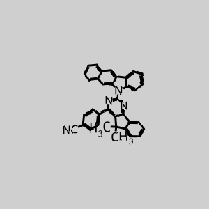 CC1(C)c2ccccc2-c2nc(-n3c4ccccc4c4cc5ccccc5cc43)nc(-c3ccc(C#N)cc3)c21